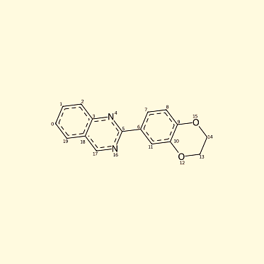 c1ccc2nc(-c3ccc4c(c3)OCCO4)ncc2c1